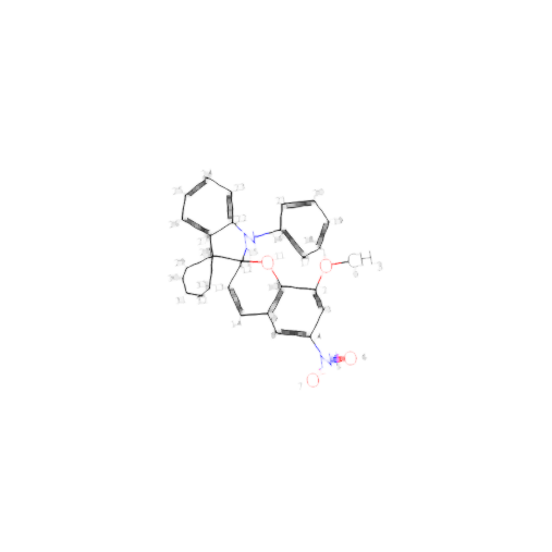 COc1cc([N+](=O)[O-])cc2c1OC1(C=C2)N(c2ccccc2)c2ccccc2C12CCCCC2